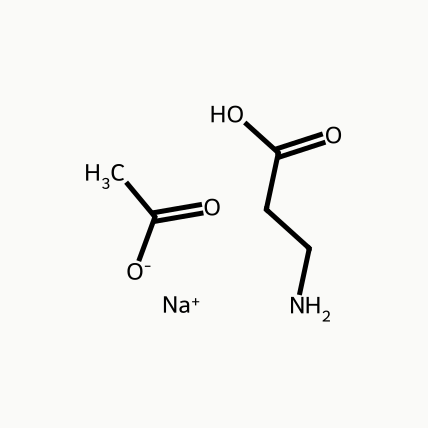 CC(=O)[O-].NCCC(=O)O.[Na+]